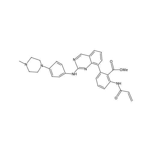 C=CC(=O)Nc1cccc(-c2cccc3cnc(Nc4ccc(N5CCN(C)CC5)cc4)nc23)c1C(=O)OC